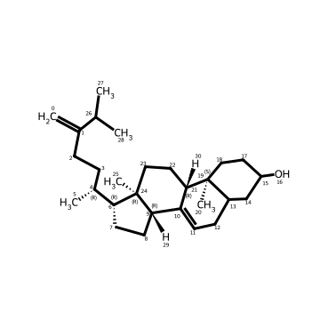 C=C(CC[C@@H](C)[C@H]1CC[C@H]2C3=CCC4CC(O)CC[C@]4(C)[C@H]3CC[C@]12C)C(C)C